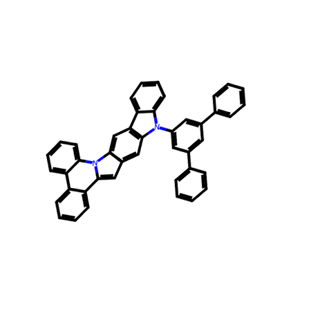 c1ccc(-c2cc(-c3ccccc3)cc(-n3c4ccccc4c4cc5c(cc43)cc3c4ccccc4c4ccccc4n53)c2)cc1